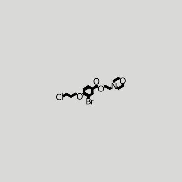 O=C(OCCN1CCOCC1)c1ccc(OCCCCl)c(Br)c1